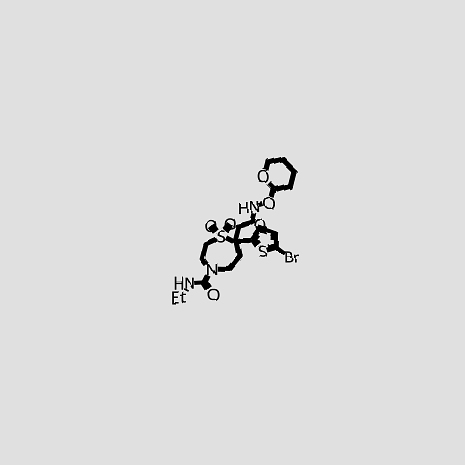 CCNC(=O)N1CCC(CC(=O)NOC2CCCCO2)(c2ccc(Br)s2)S(=O)(=O)CC1